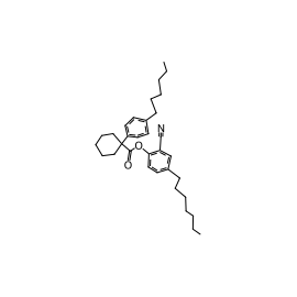 CCCCCCCc1ccc(OC(=O)C2(c3ccc(CCCCCC)cc3)CCCCC2)c(C#N)c1